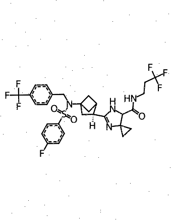 O=C(NCCC(F)(F)F)C1NC([C@H]2CC3(N(Cc4ccc(C(F)(F)F)cc4)S(=O)(=O)c4ccc(F)cc4)CC2C3)=NC12CC2